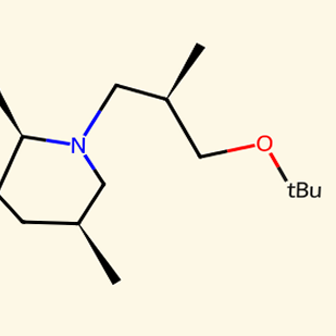 C[C@H]1CC[C@@H](C)N(C[C@@H](C)COC(C)(C)C)C1